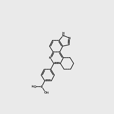 OB(O)c1ccc(-c2nc3ccc4[nH]ncc4c3c3c2CCCC3)cc1